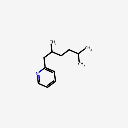 CC(C)CCC(C)Cc1ccccn1